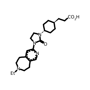 CCN1CCc2cnc(N3CCN([C@H]4CC[C@H](CCC(=O)O)CC4)C3=O)cc2CC1